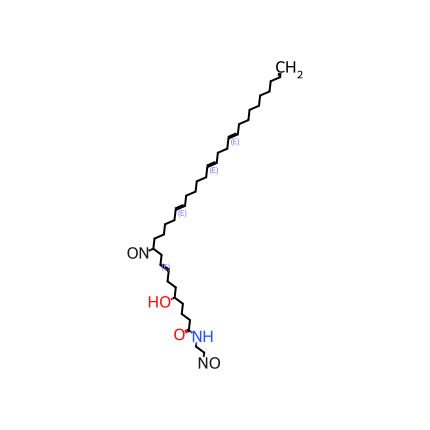 C=CCCCCCCC/C=C/CC/C=C/CCCC/C=C/CCCCC(C/C=C/CCC(O)CCCC(=O)NCCN=O)N=O